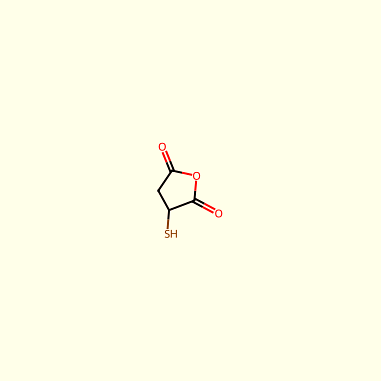 O=C1CC(S)C(=O)O1